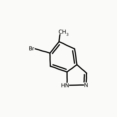 Cc1cc2cn[nH]c2cc1Br